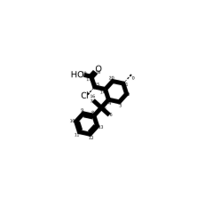 C[C@@H]1CCC(C(C)(C)c2ccccc2)C([C@H](Cl)C(=O)O)C1